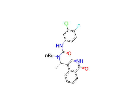 CCCCN(C(=O)Nc1ccc(F)c(Cl)c1)[C@@H](C)c1c[nH]c(=O)c2ccccc12